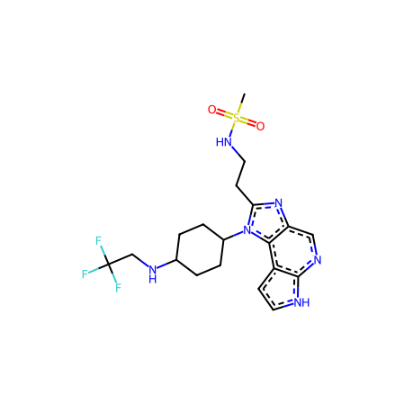 CS(=O)(=O)NCCc1nc2cnc3[nH]ccc3c2n1C1CCC(NCC(F)(F)F)CC1